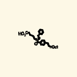 CCCCCCCCC=Cc1ccc(C(=O)N(CCCCC(=O)O)OCc2ccccc2)cc1